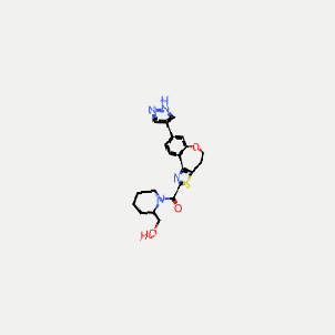 O=C(c1nc2c(s1)CCOc1cc(-c3cn[nH]c3)ccc1-2)N1CCCCC1CO